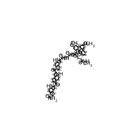 CNC(=O)CCC(=O)OC(CNC(=O)CCNC(=O)c1cc2c3c(ccc2[nH]1)N(C(=O)c1cc2c4c(ccc2[nH]1)N(C(=O)c1cc2c5c(ccc2[nH]1)N(C(N)=O)CC5)CC4)CC3)COC(c1ccccc1)(c1ccc(OC)cc1)c1ccc(OC)cc1